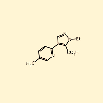 CCn1ncc(-c2ccc(C)cn2)c1C(=O)O